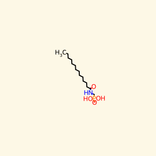 CCCCCCCCCCCCCC(=O)NCP(=O)(O)O